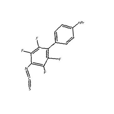 CCCc1ccc(-c2c(F)c(F)c(N=C=S)c(F)c2F)cc1